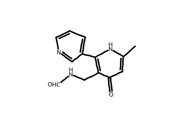 Cc1cc(=O)c(CNC=O)c(-c2cccnc2)[nH]1